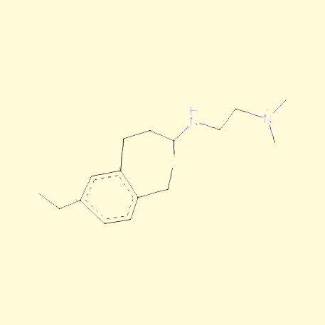 CCc1ccc2c(c1)CCC(NCCN(C)C)CC2